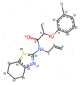 C=CCN(C(=O)C(C)Oc1cccc(C)c1)c1nc2c(s1)CCCC2